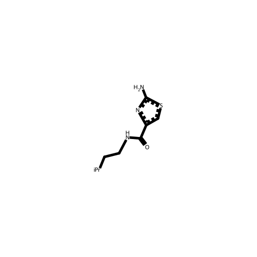 CC(C)CCNC(=O)c1csc(N)n1